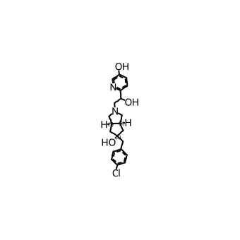 Oc1ccc(C(O)CN2C[C@@H]3C[C@](O)(Cc4ccc(Cl)cc4)C[C@@H]3C2)nc1